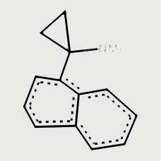 CNC1(c2cccc3ccccc23)CC1